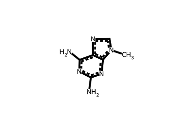 Cn1cnc2c(N)nc(N)nc21